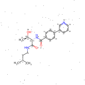 CC(C)C[CH]NC(=O)[C@@H](NC(=O)c1ccc(-c2cccnc2)cc1)[C@@H](C)O